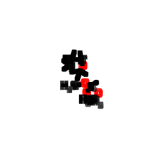 CC1(C)C[Si](C)(C)[Si](C)(C)[Si](C)(C)O1.C[Si](O[SiH3])(O[SiH3])O[SiH3]